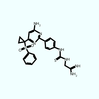 N=C(N)CNC(=S)Nc1ccc(-c2nc(N)cc(C3(S(=O)(=O)c4ccccc4)CC3)n2)cc1